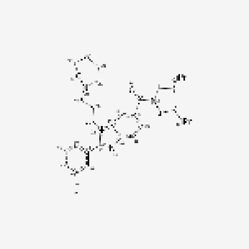 CC(C)CCN(CCC(C)C)C(=O)c1ccc2nc(-c3cccc(F)c3)n(CCCN3CCCCC3)c2c1